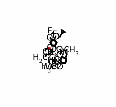 C=C/C(Cl)=C(C[C@H](OC(=O)N(C)Cc1ccc(OC)c(NS(C)(=O)=O)c1)c1ccc(OC(F)F)c(OCC2CC2)c1)\C(Cl)=C/C